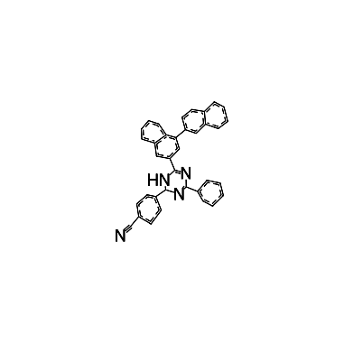 N#Cc1ccc(C2N=C(c3ccccc3)N=C(c3cc(-c4ccc5ccccc5c4)c4ccccc4c3)N2)cc1